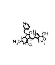 Cc1c(C(=O)O)c[nH]c1/C=C1\C(=O)N(Cc2cccnc2)c2nc(N)nc(Cl)c21